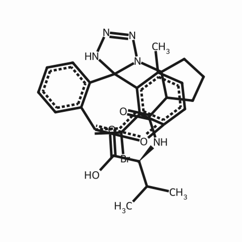 Cc1ccc2oc3c(Br)c2c1C1(NN=NN1C1CCCC1C(=O)N[C@H](C(=O)O)C(C)C)c1ccccc1-3